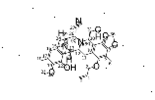 C=CCOc1c(C)c2c(c3c1CC1[C@@H]4c5c(cc(C)c(OC)c5O)C[C@@H]([C@H](C#N)N1[C@H]3CO)N4C)OCO2